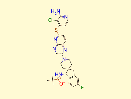 CC(C)(C)[S@@+]([O-])N[C@@H]1c2ccc(F)cc2CC12CCN(c1cnc3nc(Sc4ccnc(N)c4Cl)ccc3n1)CC2